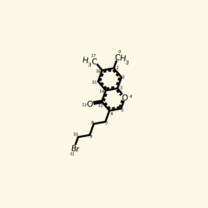 Cc1cc2occ(CCCCBr)c(=O)c2cc1C